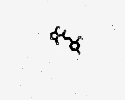 CC(C)C1COC(=O)N1C(=O)/C=C/c1ccc(F)cc1C(F)(F)F